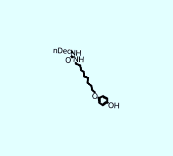 CCCCCCCCCCNC(=O)NCCCCCCCCCCOc1ccc(O)cc1